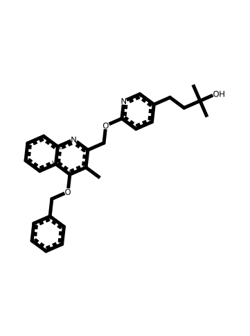 Cc1c(COc2ccc(CCC(C)(C)O)cn2)nc2ccccc2c1OCc1ccccc1